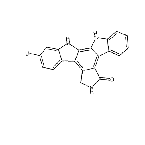 O=C1NCc2c1c1c3ccccc3[nH]c1c1[nH]c3cc(Cl)ccc3c21